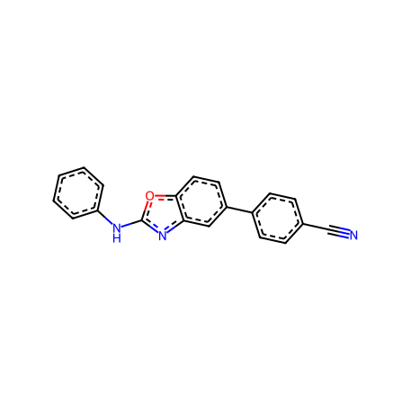 N#Cc1ccc(-c2ccc3oc(Nc4ccccc4)nc3c2)cc1